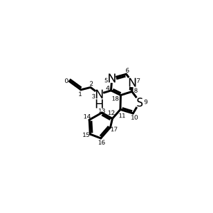 C=CCNc1ncnc2scc(-c3ccccc3)c12